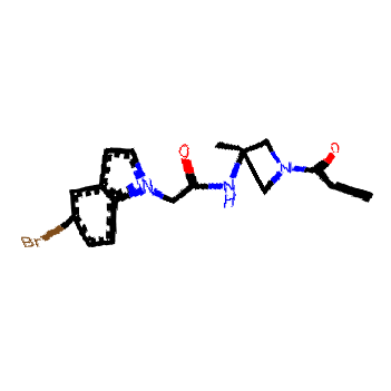 C=CC(=O)N1CC(C)(NC(=O)Cn2ccc3cc(Br)ccc32)C1